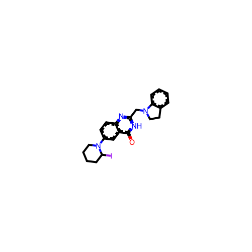 O=c1[nH]c(CN2CCc3ccccc32)nc2ccc(N3CCCCC3I)cc12